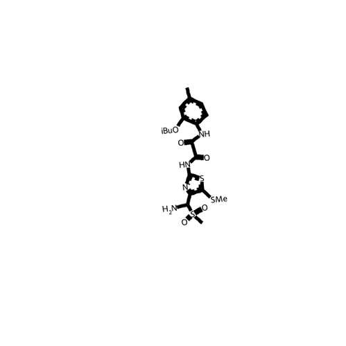 CSc1sc(NC(=O)C(=O)Nc2ccc(C)cc2OCC(C)C)nc1C(N)S(C)(=O)=O